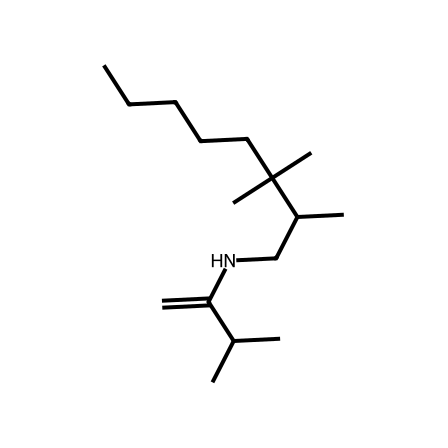 C=C(NCC(C)C(C)(C)CCCCC)C(C)C